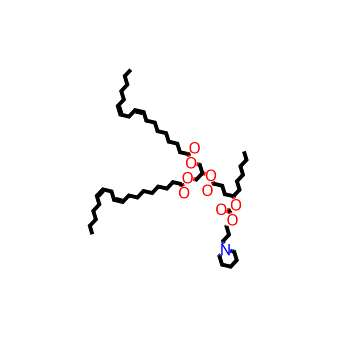 CCCCC/C=C\C/C=C\CCCCCCCC(=O)OCC(COC(=O)CCCCCCC/C=C\C/C=C\CCCCC)OC(=O)CCC(CCCCCC)OC(=O)OCCCN1CCCCC1